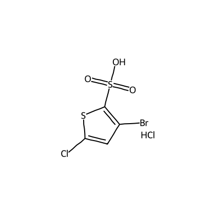 Cl.O=S(=O)(O)c1sc(Cl)cc1Br